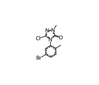 Cc1ccc(Br)cc1-n1c(Cl)nn(C)c1=O